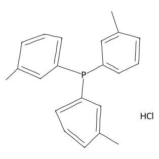 Cc1cccc(P(c2cccc(C)c2)c2cccc(C)c2)c1.Cl